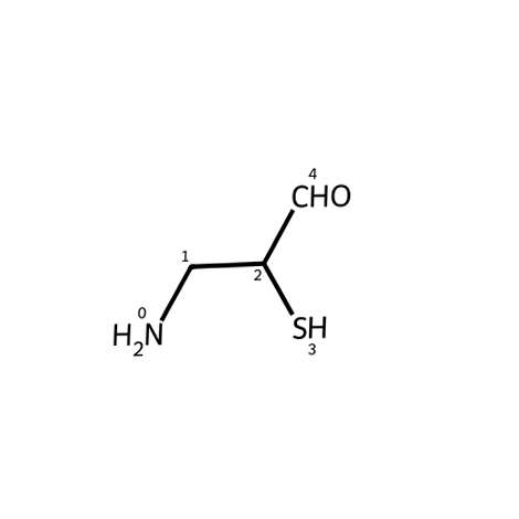 NCC(S)C=O